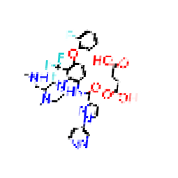 CNC[C@H]1CN(c2c(NC(=O)c3ccn(-c4ccnnc4)n3)ccc(Oc3ccccc3F)c2C(F)(F)F)CCN1C.O=C(O)CCC(=O)O